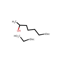 CCCCCCCCCCCC(=O)O.CCCCCCCCCCCCCCC(C)O